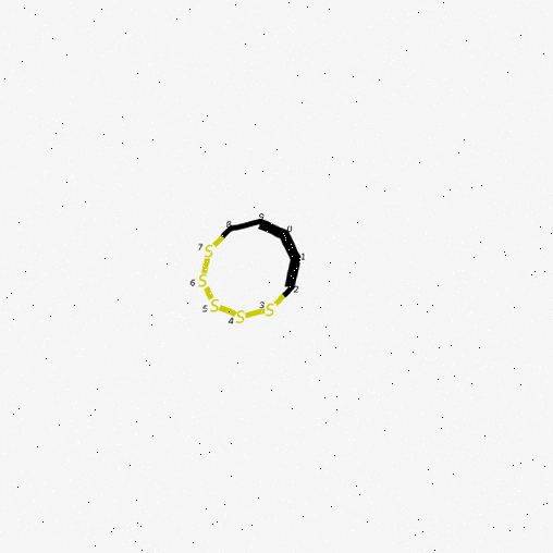 C1=C=CSSSSSCC=1